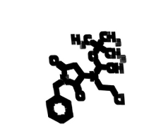 CC(C)(C)OC(O)N(CCCl)C1CC(=O)N(Cc2ccccc2)C1=O